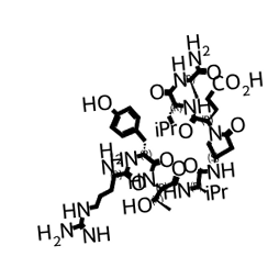 CC(C)C[C@@H](NC(=O)[C@@H](CCC(=O)O)N1C[C@@H](NC(=O)[C@H](NC(=O)[C@H](NC(=O)[C@@H](Cc2ccc(O)cc2)NC(=O)[C@H](N)CCCNC(=N)N)[C@@H](C)O)C(C)C)CC1=O)C(=O)N[C@H](C)C(N)=O